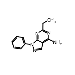 CCc1nc(N)c2cnn(-c3ccccc3)c2n1